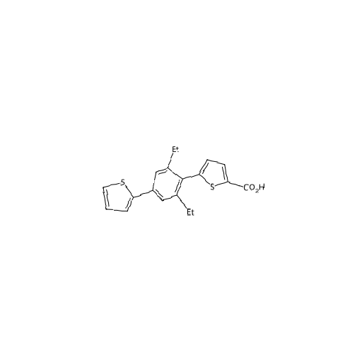 CCc1cc(-c2cccs2)cc(CC)c1-c1ccc(C(=O)O)s1